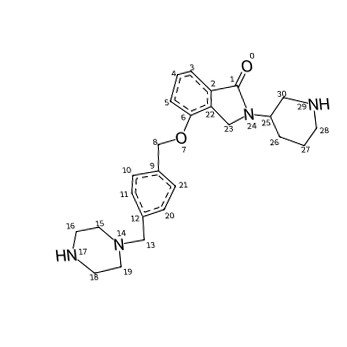 O=C1c2cccc(OCc3ccc(CN4CCNCC4)cc3)c2CN1C1CCCNC1